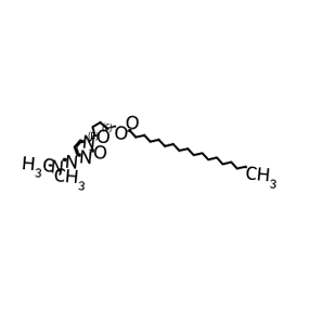 CCCCCCCCCCCCCCCCCC(=O)OC[C@@H]1CC[C@H](n2ccc(N=CN(C)C)nc2=O)O1